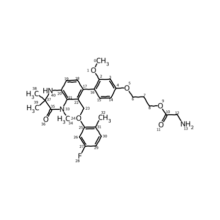 COc1cc(OCCCOC(=O)CN)ccc1-c1ccc2c(c1COc1cc(F)ccc1C)N(C)C(=O)C(C)(C)N2